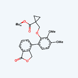 CC[C@H](C)OC(=O)C1(COc2c(-c3cccc4c3COC4=O)ccc(OC)c2OC)CC1